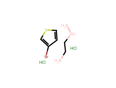 BBCCB.Brc1ccsc1.Cl.Cl